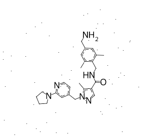 Cc1cc(CN)cc(C)c1CNC(=O)c1cnn(Cc2ccnc(N3CCCC3)c2)c1C